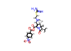 CC(C)[C@H]1C(=O)N2C(C(=O)OC(=O)c3ccc([N+](=O)[O-])cc3)=C(CN(C)CCSC(=N)N)[C@H](C)[C@H]12